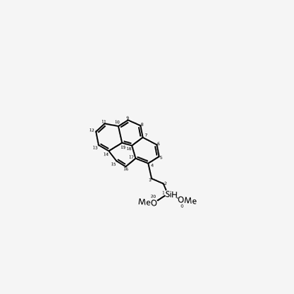 CO[SiH](CCc1ccc2ccc3cccc4ccc1c2c34)OC